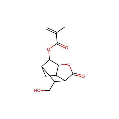 C=C(C)C(=O)OC1C2CC3C1OC(=O)C3C2CO